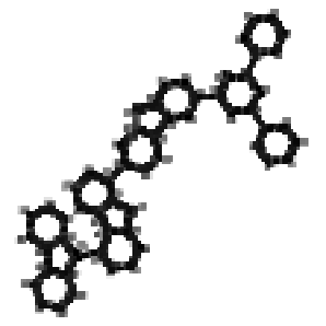 c1ccc(-c2nc(-c3ccccc3)nc(-c3ccc4sc5cc(-c6cccc7c6oc6cccc(-n8c9ccccc9c9ccccc98)c67)ccc5c4c3)n2)cc1